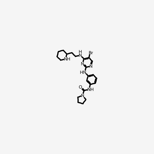 O=C(Nc1cccc(Nc2ncc(Br)c(NCCC3CCCCN3)n2)c1)N1CCCC1